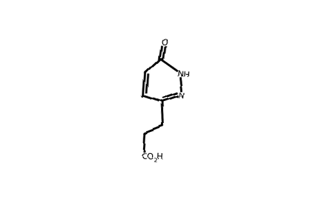 O=C(O)CCc1ccc(=O)[nH]n1